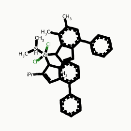 CC1=Cc2c(-c3ccccc3)cc(C)c(C)c2[CH]1[Zr]([Cl])([Cl])([CH]1C(C(C)C)=Cc2c(-c3ccccc3)cccc21)[SiH](C)C